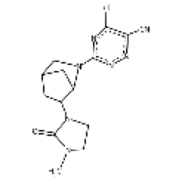 CN1CCN(C2CC3CC2N(c2nnc(C#N)c(Cl)n2)C3)C1=O